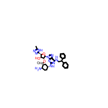 Cc1nnc([C@H]2O[C@@H](n3cnc4c(NCC(c5ccccc5)c5ccccc5)nc(N[C@H]5CC[C@H](N)CC5)nc43)[C@H](OC=O)[C@@H]2O)[nH]1